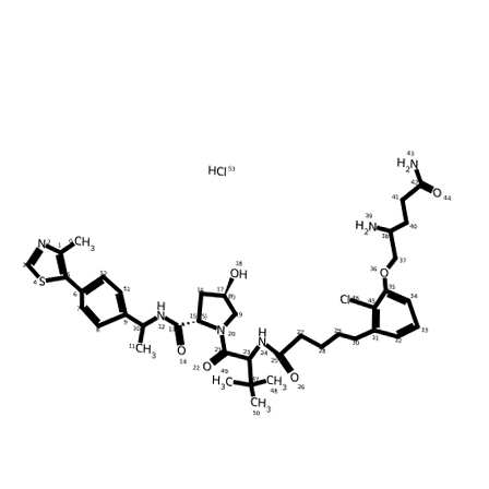 Cc1ncsc1-c1ccc(C(C)NC(=O)[C@@H]2C[C@@H](O)CN2C(=O)C(NC(=O)CCCCc2cccc(OCC(N)CCC(N)=O)c2Cl)C(C)(C)C)cc1.Cl